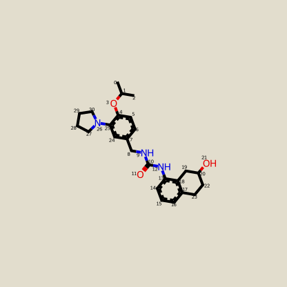 CC(C)Oc1ccc(CNC(=O)Nc2cccc3c2CC(O)CC3)cc1N1CCCC1